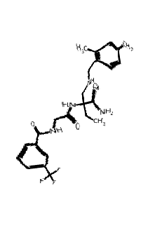 CCC(CNCc1ccc(C)cc1C)(NC(=O)CNC(=O)c1cccc(C(F)(F)F)c1)C(N)=O